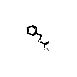 CC(=O)OCc1cc[c]cc1